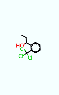 CCC(O)c1ccccc1C(Cl)(Cl)Cl